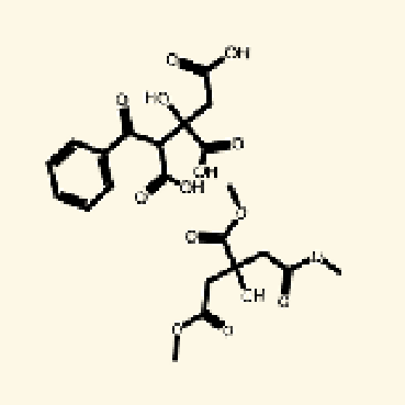 COC(=O)CC(O)(CC(=O)OC)C(=O)OC.O=C(O)CC(O)(C(=O)O)C(C(=O)O)C(=O)c1ccccc1